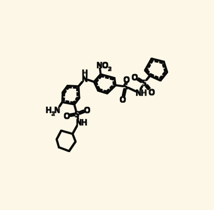 Nc1ccc(Nc2ccc(S(=O)(=O)NS(=O)(=O)c3ccccc3)cc2[N+](=O)[O-])cc1S(=O)(=O)NC1CCCCC1